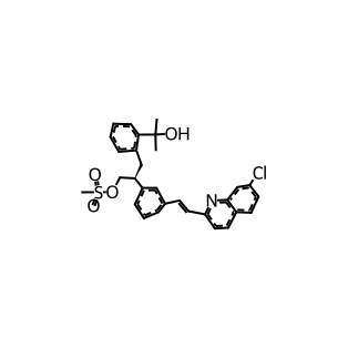 CC(C)(O)c1ccccc1C[C@H](COS(C)(=O)=O)c1cccc(C=Cc2ccc3ccc(Cl)cc3n2)c1